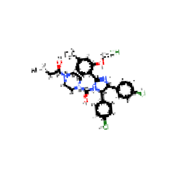 CCOc1cc(C(F)(F)F)ccc1C1=NC(c2ccc(Cl)cc2)C(c2ccc(Cl)cc2)N1C(=O)N1CCN(C(=O)COC)CC1.Cl